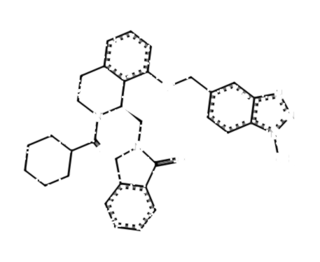 Cn1nnc2cc(COc3cccc4c3[C@@H](CN3Cc5ccccc5C3=O)N(C(=O)C3CCCCC3)CC4)ccc21